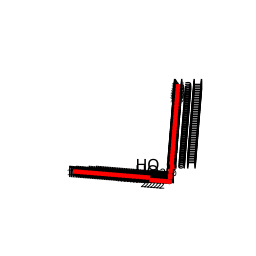 C=CC(=O)O.C=CC(=O)O.C=CC(=O)O.C=CC(=O)O.C=CC(=O)O.C=CC(=O)O.C=CC(=O)O.C=CC(=O)O.C=CC(=O)O.[NaH].[NaH].[NaH].[NaH].[NaH].[NaH].[NaH].[NaH].[NaH].[NaH].[NaH].[NaH].[NaH].[NaH].[NaH].[NaH].[NaH].[NaH].[NaH].[NaH].[NaH].[NaH].[NaH].[NaH].[NaH].[NaH].[NaH].[NaH].[NaH].[NaH].[NaH].[NaH].[NaH].[NaH].[NaH].[NaH].[NaH].[NaH].[NaH].[NaH].[NaH].[NaH].[NaH].[NaH].[NaH].[NaH].[NaH].[NaH].[NaH].[NaH].[NaH].[NaH].[NaH].[NaH].[NaH].[NaH].[NaH].[NaH].[NaH].[NaH].[NaH].[NaH].[NaH].[NaH].[NaH].[NaH].[NaH].[NaH].[NaH].[NaH].[NaH].[NaH].[NaH].[NaH].[NaH].[NaH].[NaH].[NaH].[NaH].[NaH].[NaH].[NaH].[NaH].[NaH].[NaH].[NaH].[NaH].[NaH].[NaH].[NaH].[NaH]